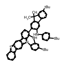 CC(C)(C)c1ccc(Nc2cc3c(cc2-c2ccc4c5cc6sc7ccccc7c6cc5n5c4c2Bc2cc(C(C)(C)C)ccc2-5)C(C)(C)c2cc(C(C)(C)C)ccc2-3)cc1